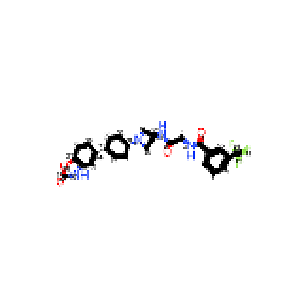 O=C(CNC(=O)c1cccc(C(F)(F)F)c1)NC1CN([C@H]2CC[C@@H](c3ccc4oc(=O)[nH]c4c3)CC2)C1